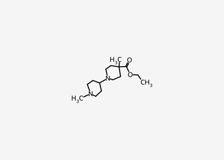 CCOC(=O)C1(C)CCN(C2CCN(C)CC2)CC1